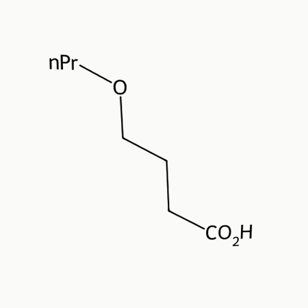 [CH2]CCOCCCC(=O)O